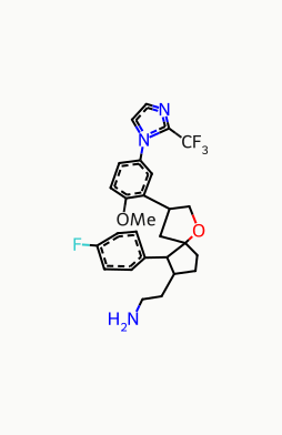 COc1ccc(-n2ccnc2C(F)(F)F)cc1C1COC2(CCC(CCN)C2c2ccc(F)cc2)C1